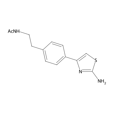 CC(=O)NCCc1ccc(-c2csc(N)n2)cc1